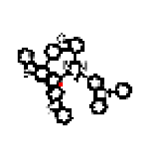 c1ccc(-c2nc(-c3ccc4c(c3)c3ccccc3n4-c3ccccc3)nc(-c3cccc4oc5ccc(-c6cc(-c7ccc8c(c7)sc7ccccc78)cc7sc8ccccc8c67)cc5c34)n2)cc1